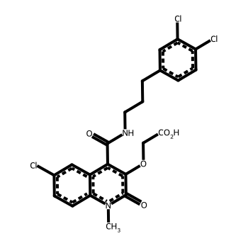 Cn1c(=O)c(OCC(=O)O)c(C(=O)NCCCc2ccc(Cl)c(Cl)c2)c2cc(Cl)ccc21